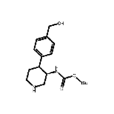 CC(C)(C)OC(=O)N[C@H]1CNCCC1c1ccc(CO)cc1